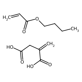 C=C(CC(=O)O)C(=O)O.C=CC(=O)OCCCC